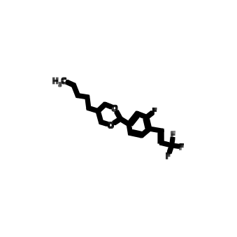 CCCCCC1COC(c2ccc(/C=C/C(F)(F)F)c(F)c2)OC1